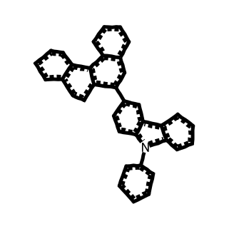 c1ccc(-n2c3ccccc3c3cc(-c4cc5ccccc5c5c4ccc4ccccc45)ccc32)cc1